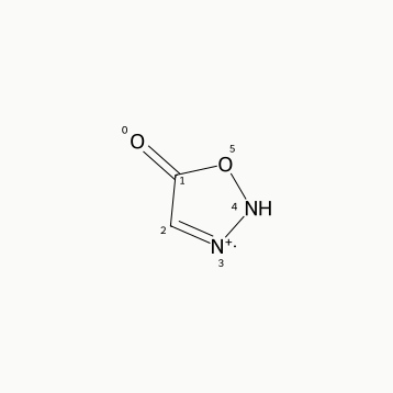 O=C1C=[N+]NO1